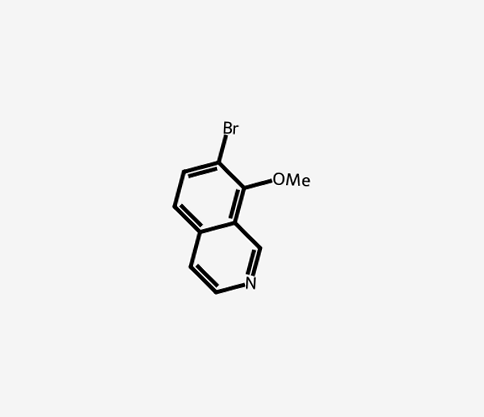 COc1c(Br)ccc2ccncc12